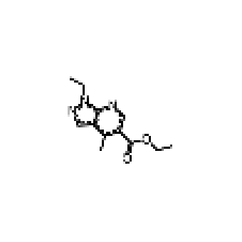 CCOC(=O)c1cnc2c(cnn2CC)c1C